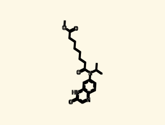 COC(=O)CCCCCCC(=O)N(c1ccc2ncc(=O)[nH]c2c1)C(C)C